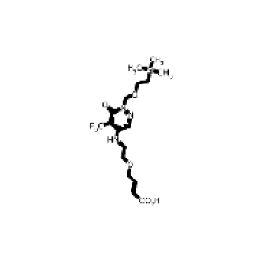 C[Si](C)(C)CCOCn1ncc(NCCOC/C=C/C(=O)O)c(C(F)(F)F)c1=O